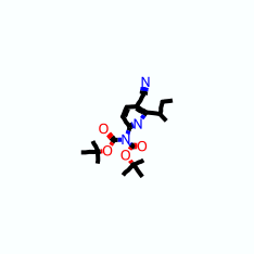 CCC(C)c1nc(N(C(=O)OC(C)(C)C)C(=O)OC(C)(C)C)ccc1C#N